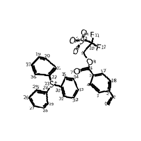 C=Cc1ccc(C(=O)OCC(F)(F)S(=O)(=O)[O-])cc1.c1ccc([S+](c2ccccc2)c2ccccc2)cc1